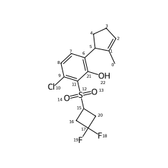 CC1=CCCC1c1ccc(Cl)c(S(=O)(=O)C2CC(F)(F)C2)c1O